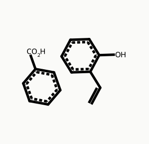 C=Cc1ccccc1O.O=C(O)c1ccccc1